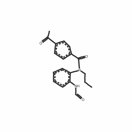 CCCN(C(=O)c1ccc(C(C)=O)cc1)c1ccccc1NC=O